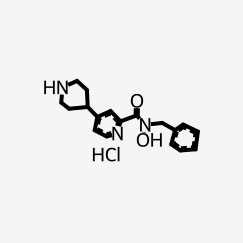 Cl.O=C(c1cc(C2CCNCC2)ccn1)N(O)Cc1ccccc1